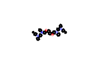 CC(C)(C)c1ccc(-n2c3ccccc3c3ccc(N(c4ccccc4)c4ccc5c(c4)oc4ccc6c(ccc7oc8cc(N(c9ccccc9)c9ccc%10c%11ccccc%11n(-c%11ccc(C(C)(C)C)cc%11)c%10c9)ccc8c76)c45)cc32)cc1